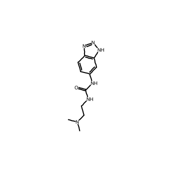 CN(C)CCNC(=O)Nc1ccc2nn[nH]c2c1